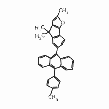 Cc1ccc(-c2c3ccccc3c(-c3ccc4c(c3)C(C)(C)c3cc(C)oc3-4)c3ccccc23)cc1